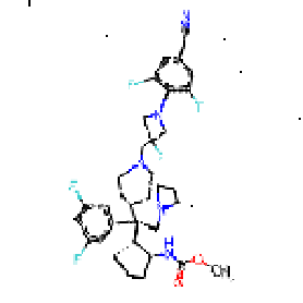 COC(=O)N[C@H]1CCC[C@@H]1[C@](CN1CCC1)(c1cc(F)cc(F)c1)C1CCN(CC2(F)CN(c3c(F)cc(C#N)cc3F)C2)CC1